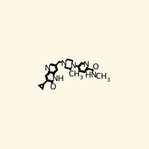 CNC(=O)c1ccc(N2CCN(Cc3cnc4cc(C5CC5)c(=O)[nH]c4c3)CC2C)cn1